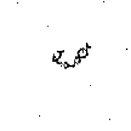 CC(C)CC1(CN2CC(CN3CC4(CCN(C(C)C)CC4)C3)C2)CC1